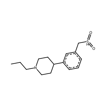 CCCN1CCC(c2cccc(C[SH](=O)=O)c2)CC1